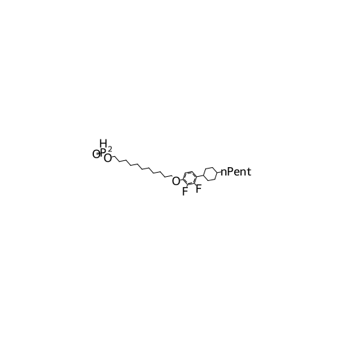 CCCCCC1CCC(c2ccc(OCCCCCCCCCCCO[PH2]=O)c(F)c2F)CC1